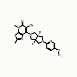 Cc1nc2c(N3C[C@H]4CN(c5ccc(OC(F)(F)F)cn5)C[C@@H]4C3)c(C#N)c(=O)n(C)c2s1